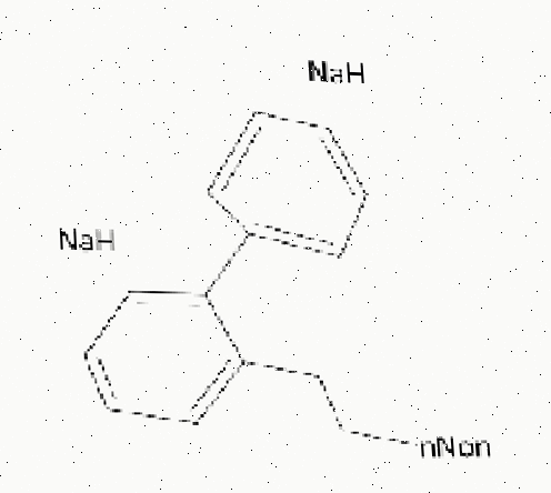 CCCCCCCCCCCc1ccccc1-c1ccccc1.[NaH].[NaH]